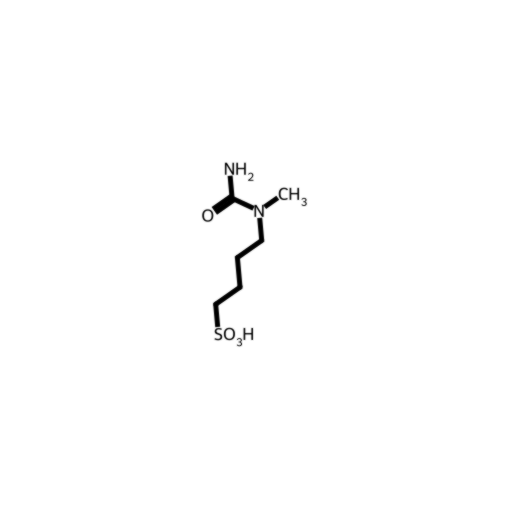 CN(CCCCS(=O)(=O)O)C(N)=O